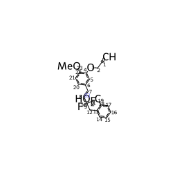 C#CCOc1cc(/C=C/C(F)(F)Cc2ccccc2C(=O)O)ccc1OC